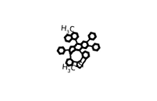 Cc1ccc(-c2c3cc(-c4ccccc4)c(-c4ccccc4)cc3c3c4cc(c(-c5ccccc5)cc24)-c2ccccc2C24C5c6c-3cccc6C3C2(C)[Si]354)c2ccccc12